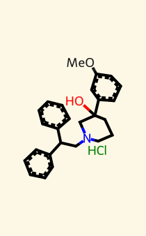 COc1cccc(C2(O)CCCN(CC(c3ccccc3)c3ccccc3)C2)c1.Cl